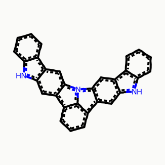 c1ccc2c(c1)[nH]c1cc3c4cccc5c6cc7[nH]c8ccccc8c7cc6n(c3cc12)c45